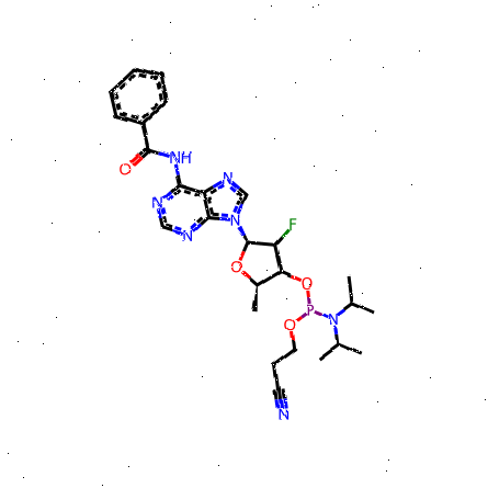 CC(C)N(C(C)C)P(OCCC#N)OC1C(F)[C@H](n2cnc3c(NC(=O)c4ccccc4)ncnc32)O[C@@H]1C